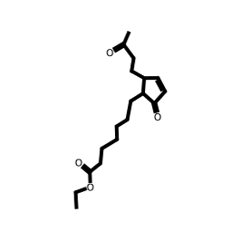 CCOC(=O)CCCCCCC1C(=O)C=CC1CCC(C)=O